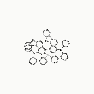 c1ccc(N(c2ccccc2)c2cc3c(c4c2ccc2c5ccccc5oc24)-c2c(cc(N(c4ccccc4)c4ccccc4)c4c2ccc2oc5ccccc5c24)C32c3ccccc3-c3ccccc32)cc1